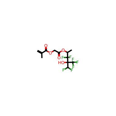 C=C(C)C(=O)OCC(=O)OC(C)C(F)(F)C(O)(C(F)F)C(F)(F)F